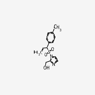 C=CC(c1ccc(C)cc1)S(=O)(=O)n1ccnc1CO